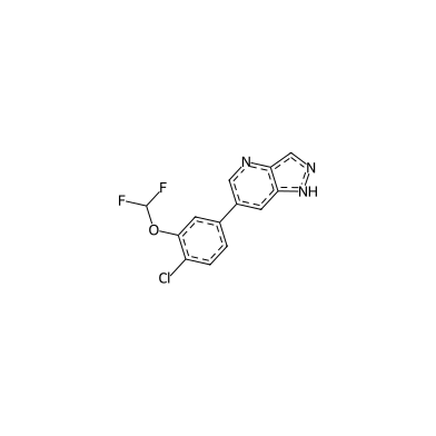 FC(F)Oc1cc(-c2cnc3cn[nH]c3c2)ccc1Cl